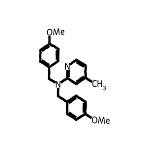 COc1ccc(CN(Cc2ccc(OC)cc2)c2cc(C)ccn2)cc1